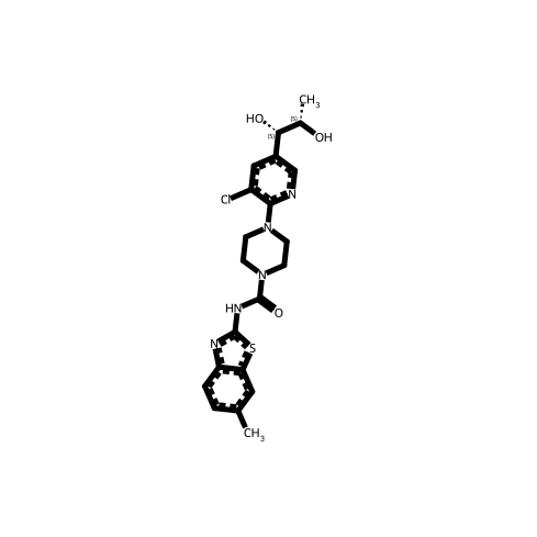 Cc1ccc2nc(NC(=O)N3CCN(c4ncc([C@H](O)[C@H](C)O)cc4Cl)CC3)sc2c1